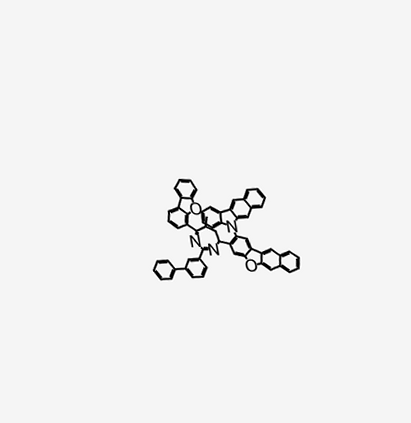 CC1CC(c2cc3oc4cc5ccccc5cc4c3cc2-n2c3ccccc3c3cc4ccccc4cc32)N=C(c2cccc(-c3ccccc3)c2)N=C1c1cccc2c1oc1ccccc12